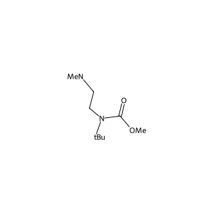 CNCCN(C(=O)OC)C(C)(C)C